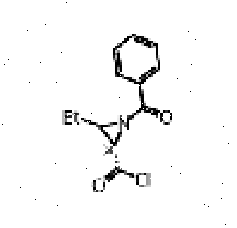 CCC1[C@@H](C(=O)Cl)N1C(=O)c1ccccc1